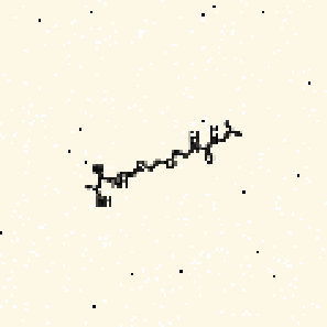 CC(C)CNC(=O)NCCOCCOCCNC(=O)C(C)S